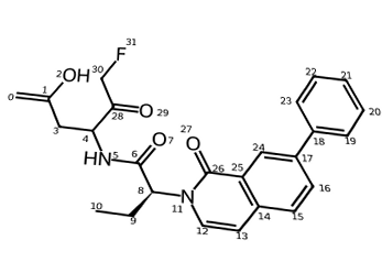 C=C(O)CC(NC(=O)[C@H](CC)n1ccc2ccc(-c3ccccc3)cc2c1=O)C(=O)CF